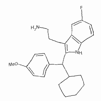 COc1ccc(C(c2[nH]c3ccc(F)cc3c2CCN)C2CCCCC2)cc1